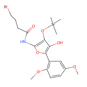 COc1ccc(OC)c(-c2oc(NC(=O)CCCBr)c(O[Si](C)(C)C)c2O)c1